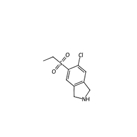 CCS(=O)(=O)c1cc2c(cc1Cl)CNC2